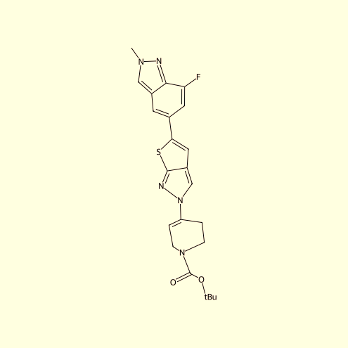 Cn1cc2cc(-c3cc4cn(C5=CCN(C(=O)OC(C)(C)C)CC5)nc4s3)cc(F)c2n1